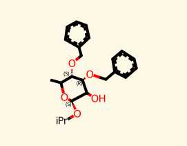 CC(C)O[C@H]1OC(C)[C@H](OCc2ccccc2)[C@H](OCc2ccccc2)C1O